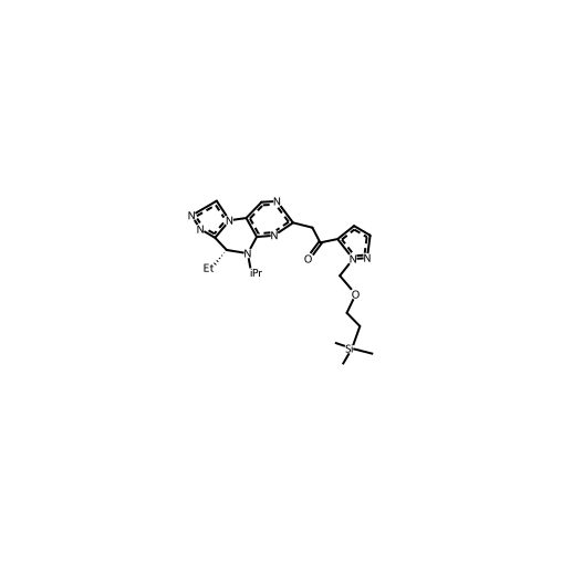 CC[C@@H]1c2nncn2-c2cnc(CC(=O)c3ccnn3COCC[Si](C)(C)C)nc2N1C(C)C